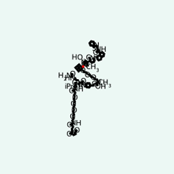 Cc1c(-c2ccc(N3CCc4cccc(C(=O)Nc5nc6ccccc6s5)c4C3)nc2C(=O)O)cnn1CC12CC3CC4CC(OCCOCCOCCN(C)C(O)OCc5ccc(NC(=O)[C@H](CCCNC(N)=O)NC(=O)[C@@H](NC(=O)CCOCCOCCOCCOCCNC(=O)CCN6C(=O)C=CC6=O)C(C)C)cc5)(C1)C342